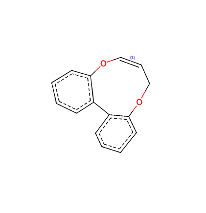 C1=C\Oc2ccccc2-c2ccccc2OC/1